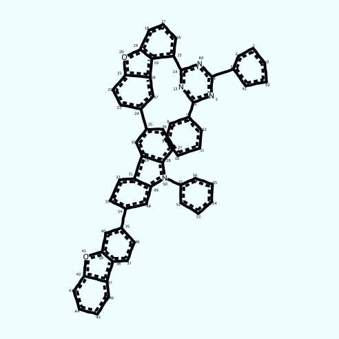 c1ccc(-c2nc(-c3ccccc3)nc(-c3cccc4oc5ccc(-c6ccc7c(c6)c6ccc(-c8ccc9c(c8)oc8ccccc89)cc6n7-c6ccccc6)cc5c34)n2)cc1